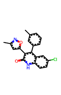 Cc1cccc(-c2c(-c3cc(C)no3)c(=O)[nH]c3ccc(Cl)cc23)c1